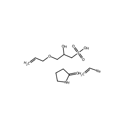 C=CCOCC(O)CS(=O)(=O)O.C=[CH][Na].O=C1CCCN1